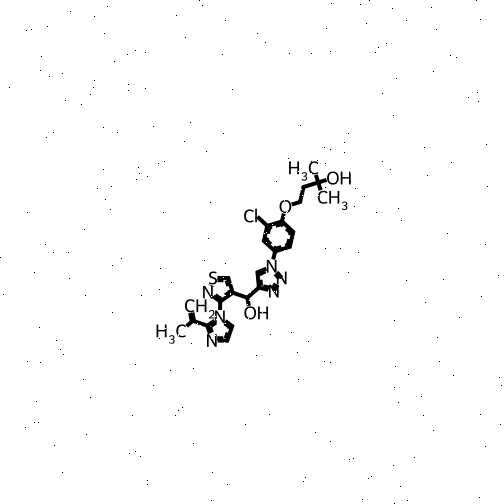 C=C(C)c1nccn1-c1nscc1C(O)c1cn(-c2ccc(OCCC(C)(C)O)c(Cl)c2)nn1